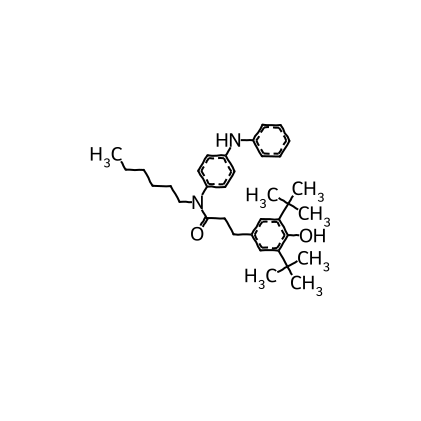 CCCCCCN(C(=O)CCc1cc(C(C)(C)C)c(O)c(C(C)(C)C)c1)c1ccc(Nc2ccccc2)cc1